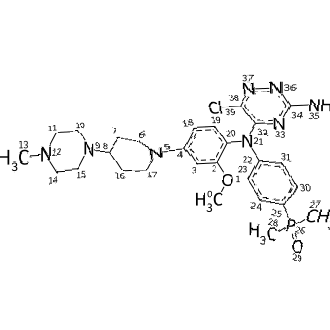 COc1cc(N2CCC(N3CCN(C)CC3)CC2)ccc1N(c1ccc(P(C)(C)=O)cc1)c1nc(N)nnc1Cl